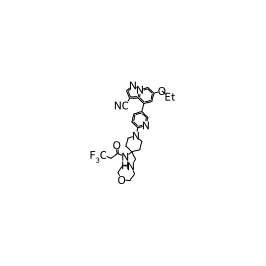 CCOc1cc(-c2ccc(N3CCC(CN4CCOCC4)(NC(=O)CC(F)(F)F)CC3)nc2)c2c(C#N)cnn2c1